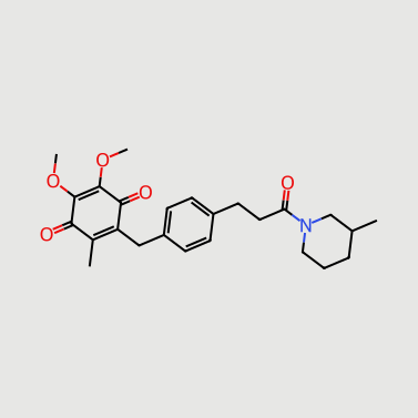 COC1=C(OC)C(=O)C(Cc2ccc(CCC(=O)N3CCCC(C)C3)cc2)=C(C)C1=O